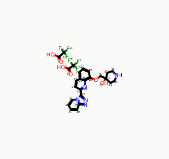 O=C(O)C(F)(F)F.O=C(O)C(F)(F)F.OC1(COc2cccc3ccc(-c4nnc5ccccn45)nc23)CCNCC1